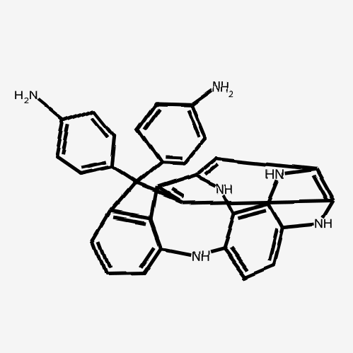 Nc1ccc(C2(c3ccc(N)cc3)c3cccc4[nH]c5ccc6[nH]c7c2c(c2cc7[nH]c6c5[nH]2)c34)cc1